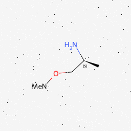 CNOC[C@H](C)N